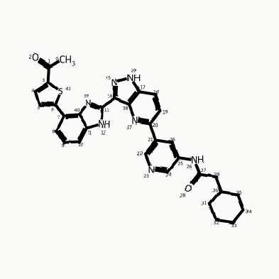 CC(=O)c1ccc(-c2cccc3[nH]c(-c4n[nH]c5ccc(-c6cncc(NC(=O)CC7CCCCC7)c6)nc45)nc23)s1